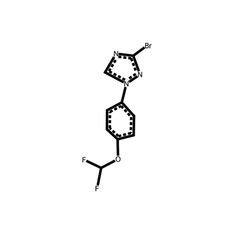 FC(F)Oc1ccc(-n2cnc(Br)n2)cc1